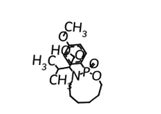 COc1ccc(P2(=O)OCCCCCCN2C(C(=O)O)C(C)C)cc1